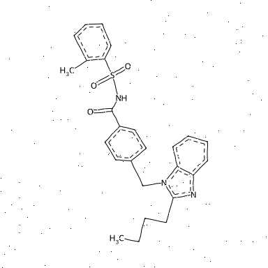 CCCCc1nc2ccccc2n1Cc1ccc(C(=O)NS(=O)(=O)c2ccccc2C)cc1